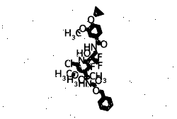 COC1=C(Cl)N=C(C(O)(CNC(=O)c2ccc(OC3CC3)c(OC)c2)C(F)(F)F)CC1C(C)(C)NC(=O)OCc1ccccc1